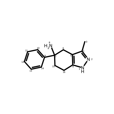 Cc1n[nH]c2c1CC(N)(c1ccccc1)CC2